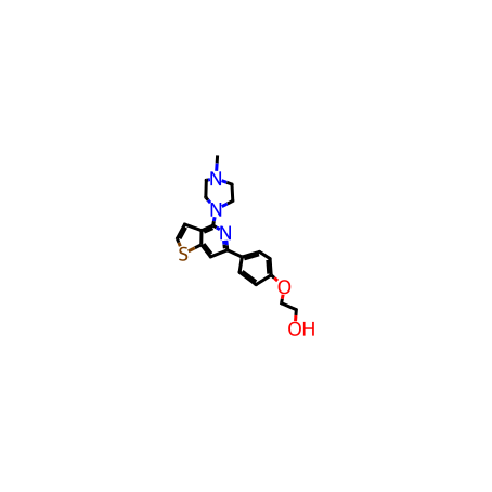 CN1CCN(c2nc(-c3ccc(OCCO)cc3)cc3sccc23)CC1